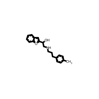 Cc1ccc(CCCNCC(O)c2cc3ccccc3o2)cc1